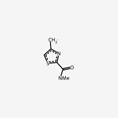 [CH2]c1csc(C(=O)NC)n1